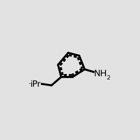 C[C](C)Cc1cccc(N)c1